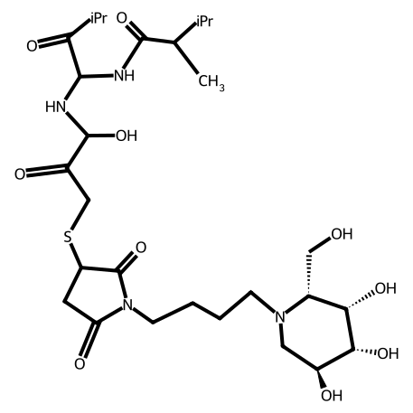 CC(C)C(=O)C(NC(=O)C(C)C(C)C)NC(O)C(=O)CSC1CC(=O)N(CCCCN2C[C@H](O)[C@@H](O)[C@@H](O)[C@H]2CO)C1=O